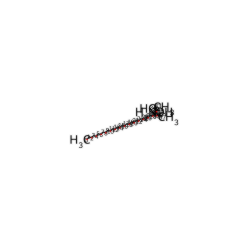 CCCCCCCCCCCCCCCCCCCCCCCCCCCCCC(N)(CC(C)O)CC(C)O